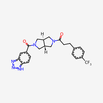 O=C(CCc1ccc(C(F)(F)F)cc1)N1C[C@@H]2CN(C(=O)c3ccc4[nH]nnc4c3)C[C@H]2C1